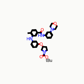 Cc1ccc(C(=O)Nc2cccc(N3CCOCC3)c2)cc1Nc1cccc(OC2CCN(C(=O)OC(C)(C)C)C2)c1